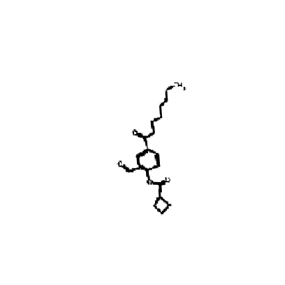 CCCCCCCC(=O)c1ccc(OC(=O)C2CCC2)c([C]=O)c1